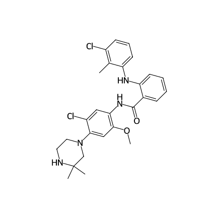 COc1cc(N2CCNC(C)(C)C2)c(Cl)cc1NC(=O)c1ccccc1Nc1cccc(Cl)c1C